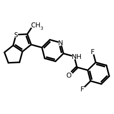 Cc1sc2c(c1-c1ccc(NC(=O)c3c(F)cccc3F)nc1)CCC2